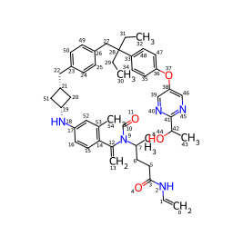 C=CNC(=O)CCC(C)N(C=O)C(=C)c1ccc(N[C@H]2C[C@@H](Cc3ccc(CC(CC)(CC)c4ccc(Oc5cnc(C(C)O)nc5)cc4)cc3)C2)cc1C